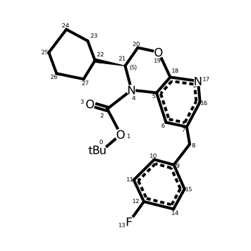 CC(C)(C)OC(=O)N1c2cc(Cc3ccc(F)cc3)cnc2OC[C@@H]1C1CCCCC1